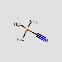 CS(C)(C)C#N